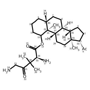 CC(=O)[C@H]1CC[C@H]2[C@@H]3CC[C@H]4CCCC(OC(=O)[C@@H](N)C(C)(C)C(=O)CN)[C@]4(C)[C@H]3CC[C@]12C